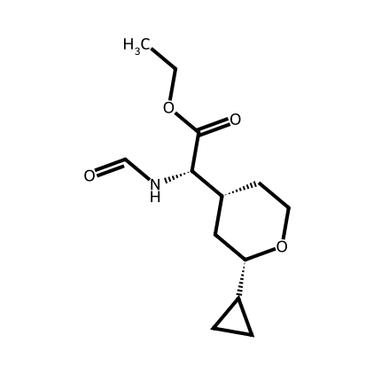 CCOC(=O)[C@@H](NC=O)[C@@H]1CCO[C@H](C2CC2)C1